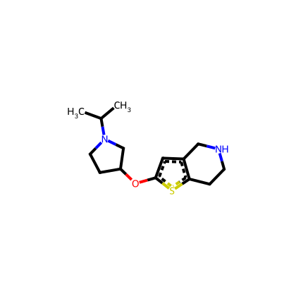 CC(C)N1CCC(Oc2cc3c(s2)CCNC3)C1